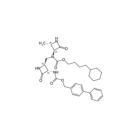 C[C@@H]1NC(=O)[C@H]1N(C[C@@H]1NC(=O)[C@H]1NC(=O)OCc1ccc(-c2ccccc2)cc1)C(=O)OCCCCC1CCCCC1